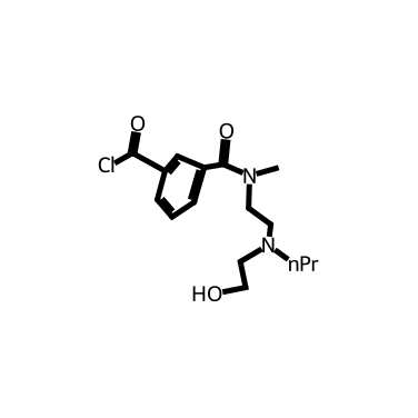 CCCN(CCO)CCN(C)C(=O)c1cccc(C(=O)Cl)c1